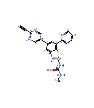 C#Cc1ncc(-c2cc(-c3ccccn3)c3sc(NC(=O)NCC)nc3c2)cn1